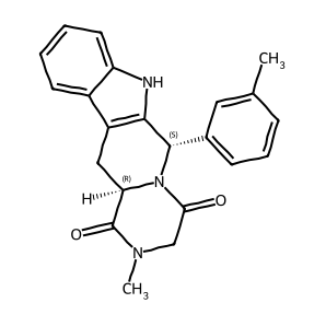 Cc1cccc([C@H]2c3[nH]c4ccccc4c3C[C@@H]3C(=O)N(C)CC(=O)N23)c1